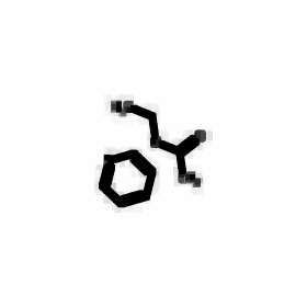 CCOC(C)=O.c1ccncc1